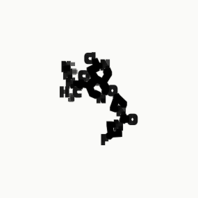 CC(C)(N=[N+]=[N-])c1cnc(OC2CN(C(=O)N3CC(F)C3)C2)c2cnc(Cl)cc12